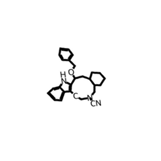 N#CN1CCc2c([nH]c3ccccc23)C(OCc2ccccc2)CC2CCCCC2C1